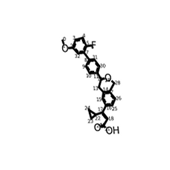 COc1ccc(F)c(-c2ccc(C3Cc4cc(C(=CC(=O)O)C5CC5)ccc4CO3)cc2)c1